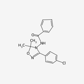 CC1(C)ON=C(c2ccc(Cl)cc2)N1NC(=O)c1ccccc1